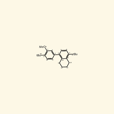 COc1cc(-c2ccc(C(C)(C)C)c3c2CCCC3)ccc1C(C)(C)C